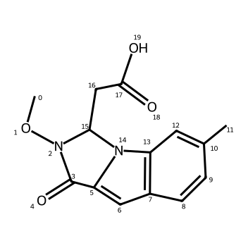 CON1C(=O)c2cc3ccc(C)cc3n2C1CC(=O)O